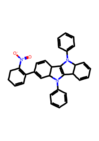 O=[N+]([O-])C1=C(C2=CC3C(C=C2)C2=C(C4C=CC=CC4N2c2ccccc2)N3c2ccccc2)C=CCC1